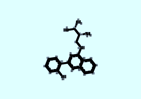 C[C@@H](O)[C@H](N)CNc1nc(-c2ccccc2O)nc2ccccc12